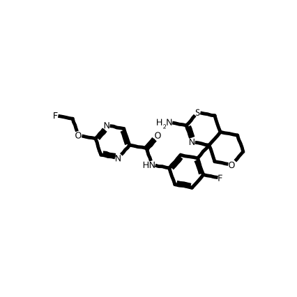 NC1=NC2(c3cc(NC(=O)c4cnc(OCF)cn4)ccc3F)COCCC2CS1